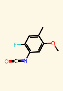 COc1cc(N=C=O)c(F)cc1C